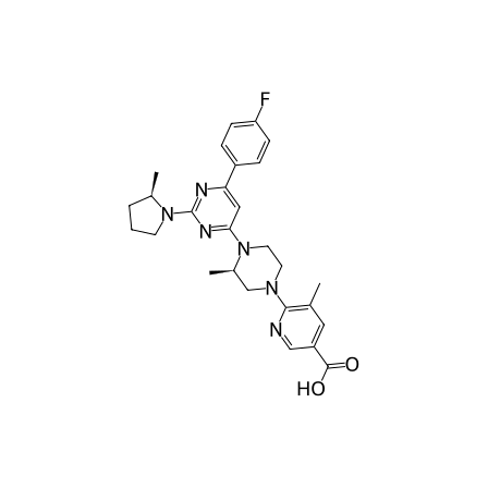 Cc1cc(C(=O)O)cnc1N1CCN(c2cc(-c3ccc(F)cc3)nc(N3CCC[C@H]3C)n2)[C@H](C)C1